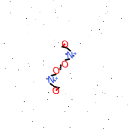 C[N+](C)(CCOCCOCC[N+](C)(C)CC1CO1)CC1CO1